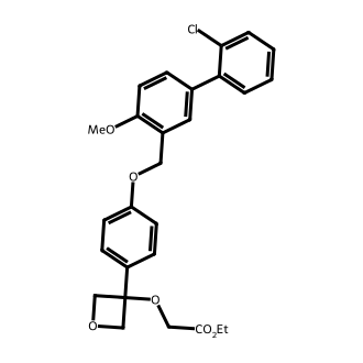 CCOC(=O)COC1(c2ccc(OCc3cc(-c4ccccc4Cl)ccc3OC)cc2)COC1